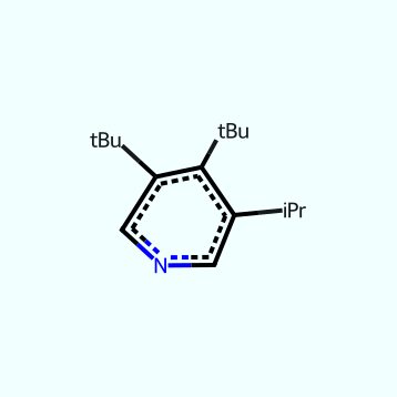 CC(C)c1cncc(C(C)(C)C)c1C(C)(C)C